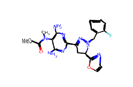 COC(=O)N(C)c1c(N)nc(C2=NN(Cc3ccccc3F)C(c3ncco3)C2)nc1N